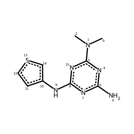 CN(C)c1nc(N)nc(Nc2ccsc2)n1